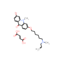 C=CCN(C)CCCCCCOc1ccc(C(=O)c2ccc(Br)cc2)c(NC)c1.O=C(O)/C=C/C(=O)O